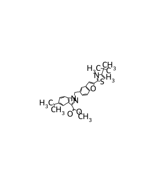 COC(=O)c1nn(Cc2ccc3oc(-c4nc(C(C)(C)C)cs4)cc3c2)c2ccc(C(C)C)cc12